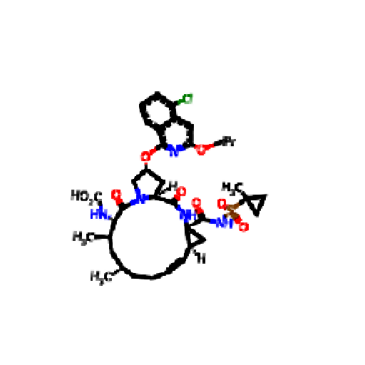 CC(C)Oc1cc2c(Cl)cccc2c(O[C@@H]2C[C@H]3C(=O)N[C@]4(C(=O)NS(=O)(=O)C5(C)CC5)C[C@H]4C=CCC[C@H](C)C[C@@H](C)[C@H](NC(=O)O)C(=O)N3C2)n1